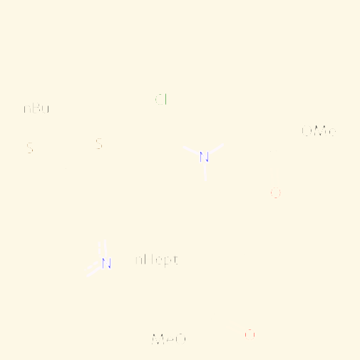 CCCCCCCC(/C=C\C1C=C(c2ncccc2C(=S)SCCCC)CCN1C(C(=O)OC)c1ccccc1Cl)C(=O)OC